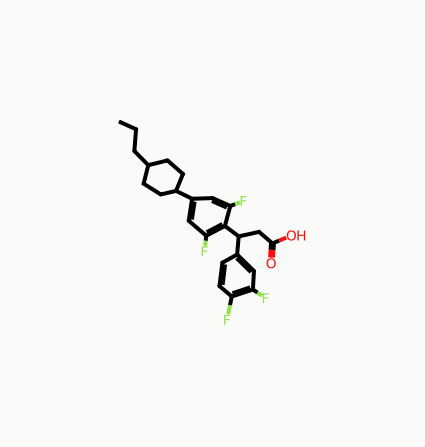 CCCC1CCC(c2cc(F)c(C(CC(=O)O)c3ccc(F)c(F)c3)c(F)c2)CC1